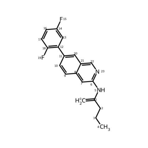 C=C(CCC)Nc1cc2ccc(-c3cc(F)ccc3F)cc2cn1